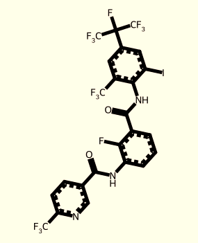 O=C(Nc1cccc(C(=O)Nc2c(I)cc(C(F)(C(F)(F)F)C(F)(F)F)cc2C(F)(F)F)c1F)c1ccc(C(F)(F)F)nc1